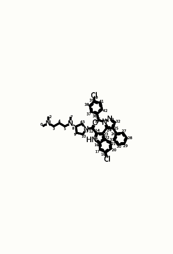 CN(C)CCCN(C)[C@H]1CCN(C(=O)c2[nH]c3cc(Cl)ccc3c2-c2c(-c3ccccc3)cnn2Cc2ccc(Cl)cc2)C1